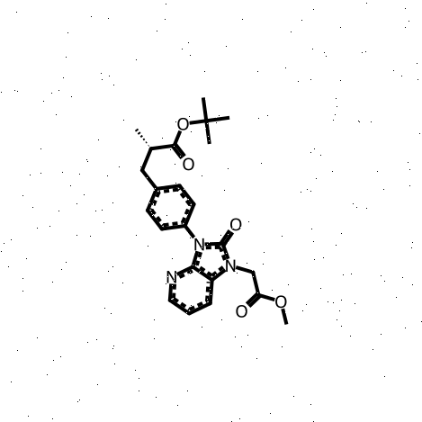 COC(=O)Cn1c(=O)n(-c2ccc(C[C@H](C)C(=O)OC(C)(C)C)cc2)c2ncccc21